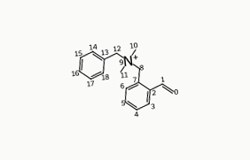 C=Cc1ccccc1C[N+](C)(C)Cc1ccccc1